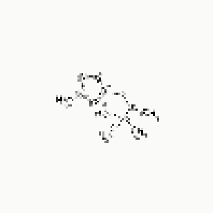 CN(Cc1cnn(C)c1)C(C)(C)C